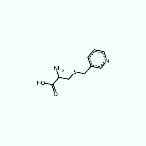 NC(CSCc1cccnc1)C(=O)O